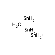 O.[SnH2].[SnH2].[SnH2]